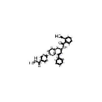 C#Cc1ccccc1C(=O)NC(/C=C/c1ccccc1)CN1CCN(c2ncc(C(=O)NO)cn2)CC1